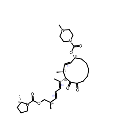 C/C(=C\C=C\[C@@H](C)COC(=O)N1CCC[C@@H]1C)[C@H]1C(=O)C(=O)CCCCC[C@@H](OC(=O)N2CCN(C)CC2)/C=C/[C@@H]1C